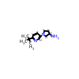 CC(C)(C)c1ccc(N2CCC(N)C2)cn1